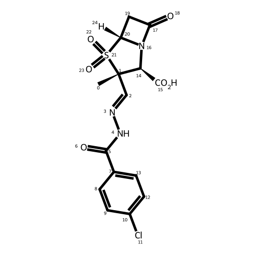 C[C@]1(/C=N/NC(=O)c2ccc(Cl)cc2)[C@H](C(=O)O)N2C(=O)C[C@H]2S1(=O)=O